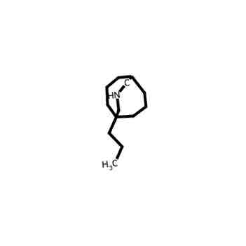 CCCC12CCCC(CCC1)CNC2